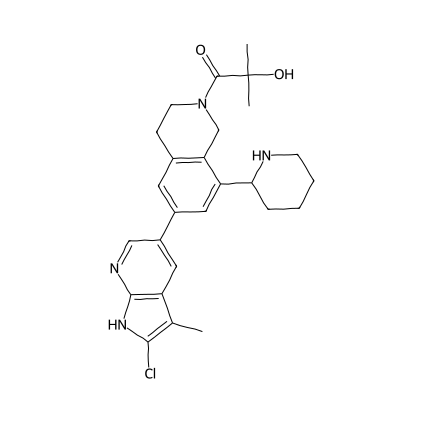 Cc1c(Cl)[nH]c2ncc(-c3cc4c(c(C5CCCCN5)c3)CN(C(=O)C(C)(C)O)CC4)cc12